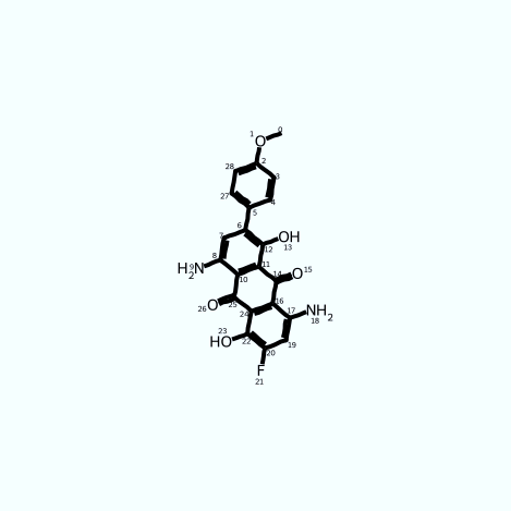 COc1ccc(-c2cc(N)c3c(c2O)C(=O)c2c(N)cc(F)c(O)c2C3=O)cc1